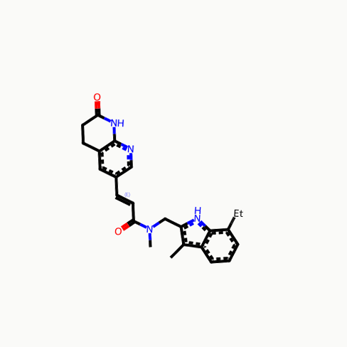 CCc1cccc2c(C)c(CN(C)C(=O)/C=C/c3cnc4c(c3)CCC(=O)N4)[nH]c12